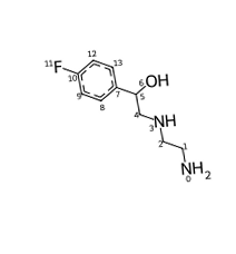 NCCNCC(O)c1ccc(F)cc1